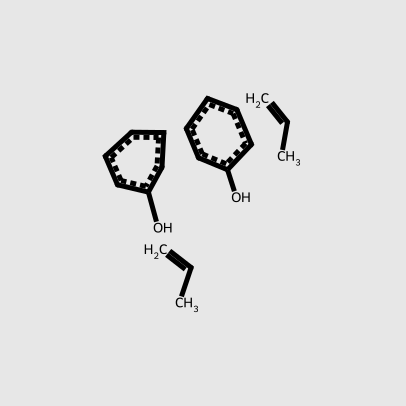 C=CC.C=CC.Oc1ccccc1.Oc1ccccc1